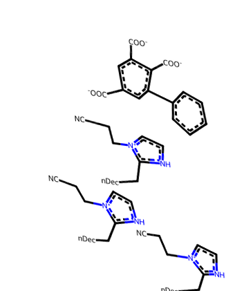 CCCCCCCCCCCc1[nH]cc[n+]1CCC#N.CCCCCCCCCCCc1[nH]cc[n+]1CCC#N.CCCCCCCCCCCc1[nH]cc[n+]1CCC#N.O=C([O-])c1cc(C(=O)[O-])c(C(=O)[O-])c(-c2ccccc2)c1